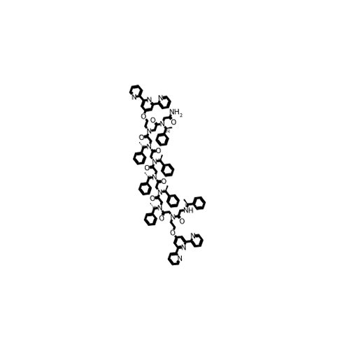 C[C@H](NCC(=O)N(CCOc1cc(-c2ccccn2)nc(-c2ccccn2)c1)CC(=O)N(CC(=O)N(CC(=O)N(CC(=O)N(CC(=O)N(CC(=O)N(CCOc1cc(-c2ccccn2)nc(-c2ccccn2)c1)CC(=O)N(CC(N)=O)[C@@H](C)c1ccccc1)[C@@H](C)c1ccccc1)[C@@H](C)c1ccccc1)[C@@H](C)c1ccccc1)[C@@H](C)c1ccccc1)[C@@H](C)c1ccccc1)c1ccccc1